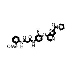 COc1ccccc1NC(=O)CC(=O)Nc1ccc(Oc2ccnc3cc(C(=O)N4CCCC4)sc23)c(F)c1